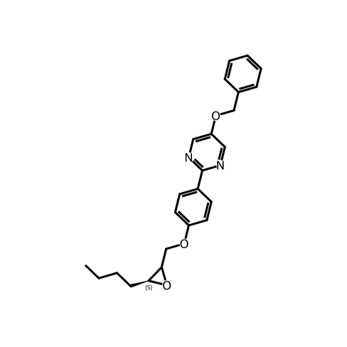 CCCC[C@@H]1OC1COc1ccc(-c2ncc(OCc3ccccc3)cn2)cc1